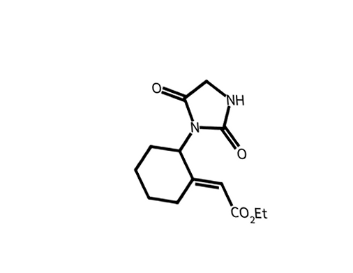 CCOC(=O)C=C1CCCCC1N1C(=O)CNC1=O